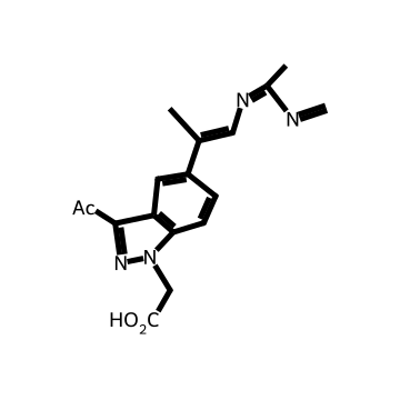 C=N/C(C)=N\C=C(/C)c1ccc2c(c1)c(C(C)=O)nn2CC(=O)O